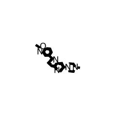 Cc1nc2cc(-c3ccc4ncc(N5CCN(C)CC5)cc4n3)ccc2o1